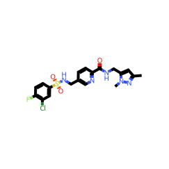 Cc1cc(CNC(=O)c2ccc(CNS(=O)(=O)c3ccc(F)c(Cl)c3)cn2)n(C)n1